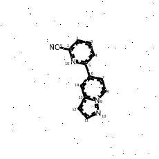 N#Cc1cccc(-c2ccn3nccc3c2)n1